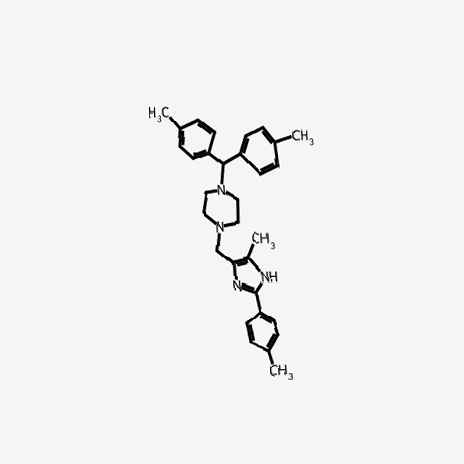 Cc1ccc(-c2nc(CN3CCN(C(c4ccc(C)cc4)c4ccc(C)cc4)CC3)c(C)[nH]2)cc1